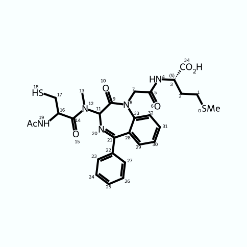 CSCC[C@H](NC(=O)CN1C(=O)C(N(C)C(=O)C(CS)NC(C)=O)N=C(c2ccccc2)c2ccccc21)C(=O)O